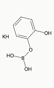 OB(O)Oc1ccccc1O.[KH]